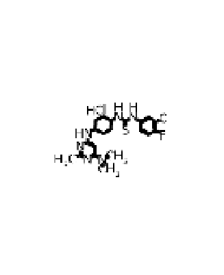 Cc1nc(NC2CCC(NC(=S)Nc3ccc(F)c(Cl)c3)CC2)cc(N(C)C)n1.Cl